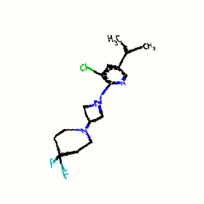 CC(C)c1cnc(N2CC(N3CCC(F)(F)CC3)C2)c(Cl)c1